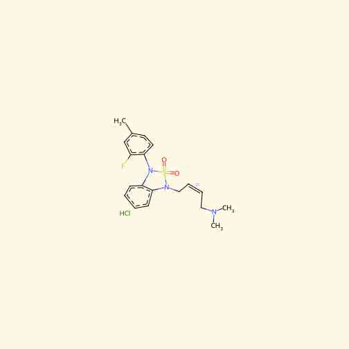 Cc1ccc(N2c3ccccc3N(C/C=C\CN(C)C)S2(=O)=O)c(F)c1.Cl